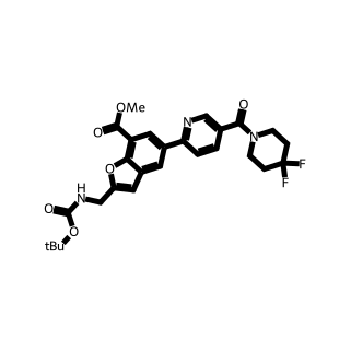 COC(=O)c1cc(-c2ccc(C(=O)N3CCC(F)(F)CC3)cn2)cc2cc(CNC(=O)OC(C)(C)C)oc12